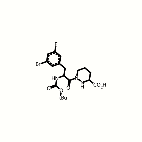 CC(C)(C)OC(=O)NC(Cc1cc(F)cc(Br)c1)C(=O)N1CCCC(C(=O)O)N1